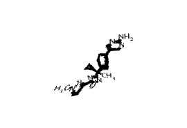 Cn1ccc(-c2nc(C(C)(c3ccc(-c4cnc(N)nc4)cc3)C3CC3)no2)n1